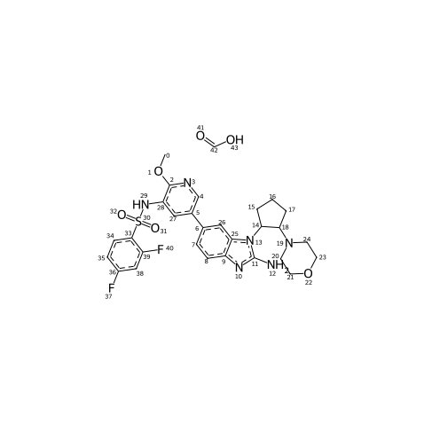 COc1ncc(-c2ccc3nc(N)n(C4CCCC4N4CCOCC4)c3c2)cc1NS(=O)(=O)c1ccc(F)cc1F.O=CO